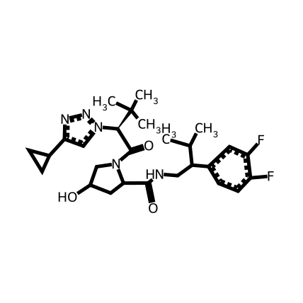 CC(C)C(CNC(=O)C1CC(O)CN1C(=O)[C@@H](n1cc(C2CC2)nn1)C(C)(C)C)c1ccc(F)c(F)c1